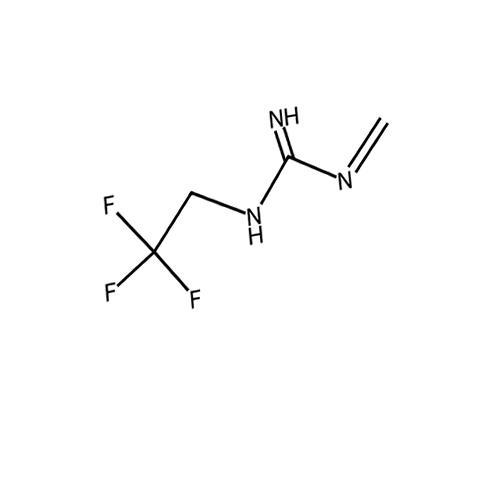 C=NC(=N)NCC(F)(F)F